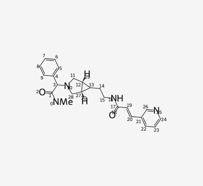 CNC(=O)C(c1ccccc1)N1C[C@@H]2C(CCNC(=O)/C=C/c3cccnc3)[C@@H]2C1